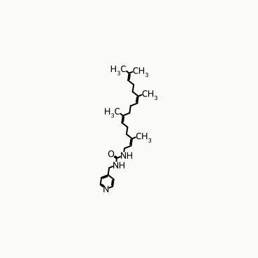 CC(C)=CCCC(C)=CCCC(C)=CCCC(C)=CCNC(=O)NCc1ccncc1